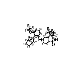 O=C(O)N1CCN(Cc2cccc(OC(F)(F)F)c2N2CC3CCC(C2)O3)CC1C(C(F)(F)F)C(F)(F)F